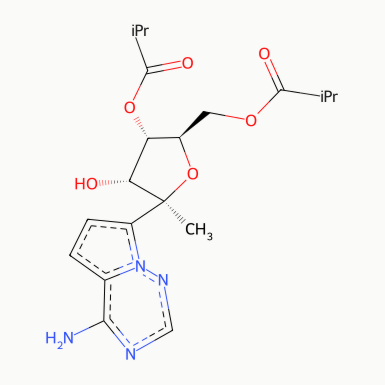 CC(C)C(=O)OC[C@H]1O[C@@](C)(c2ccc3c(N)ncnn23)[C@H](O)[C@@H]1OC(=O)C(C)C